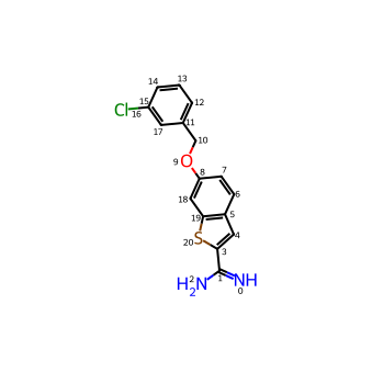 N=C(N)c1cc2ccc(OCc3cccc(Cl)c3)cc2s1